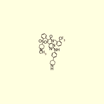 CN1CCC(S(=O)(=O)c2ccccc2-c2cc3cnc(Nc4ccc(C5CCNCC5)cc4)nc3n(Cc3ccccc3C(F)(F)F)c2=O)CC1